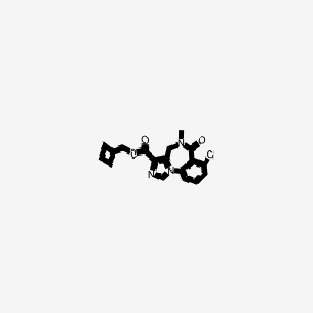 CN1Cc2c(C(=O)OCC3CCC3)ncn2-c2cccc(Cl)c2C1=O